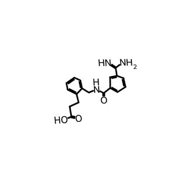 N=C(N)c1cccc(C(=O)NCc2ccccc2CCC(=O)O)c1